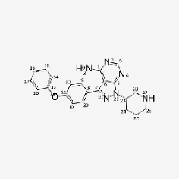 Nc1ncnc2c1c(-c1ccc(Oc3ccccc3)cc1)nn2C1CCCNC1